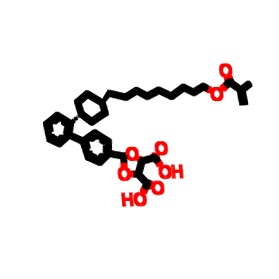 C=C(C)C(=O)OCCCCCCCCC[C@H]1CC[C@H](c2ccccc2-c2ccc(C3OC(C(=O)O)C(C(=O)O)O3)cc2)CC1